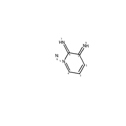 N=C1C=CC=NC1=N.[N]